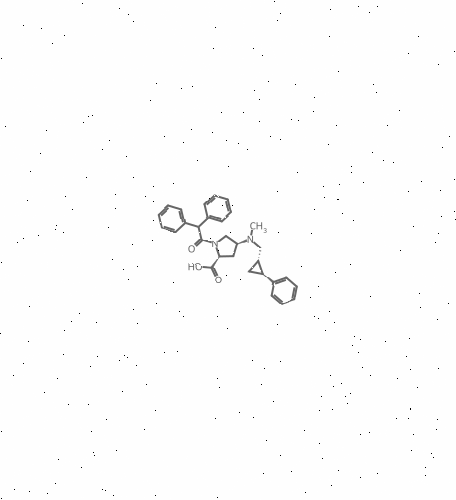 CN(C[C@H]1C[C@@H]1c1ccccc1)[C@H]1C[C@@H](C(=O)O)N(C(=O)C(c2ccccc2)c2ccccc2)C1